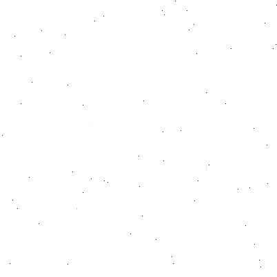 CC(COCCO)COOCCO